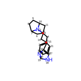 c1ccc(CC2CC3CCC(C2)N3CCCc2c[nH]cn2)cc1